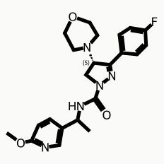 COc1ccc(C(C)NC(=O)N2C[C@H](N3CCOCC3)C(c3ccc(F)cc3)=N2)cn1